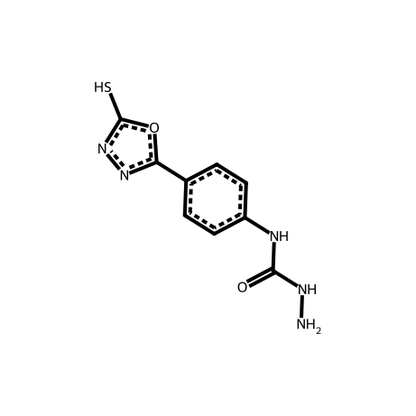 NNC(=O)Nc1ccc(-c2nnc(S)o2)cc1